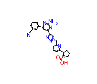 N#Cc1cccc(-c2cc(-c3cn(Cc4cccc(C5CCC[C@@H]5C(=O)O)n4)nn3)nc(N)n2)c1